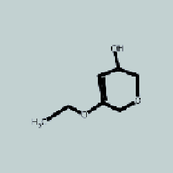 CCOC1=CC(O)COC1